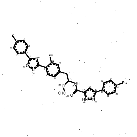 Cc1ccc(-c2nc(-c3ccc(CC(NC(=O)c4cc(-c5ccc(F)cc5)n[nH]4)OC=O)cc3F)no2)cc1